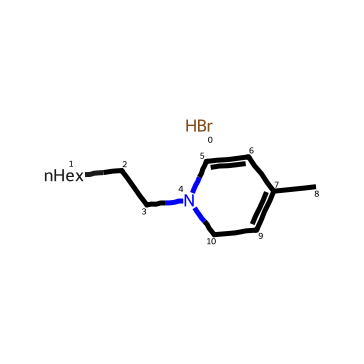 Br.CCCCCCCCN1C=CC(C)=CC1